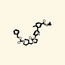 Cc1ccc(C(=O)NC2CC2)cc1-c1ccc(N2CCN(CC3CCN(C(=O)OCc4ccccc4)CC3)C2=O)nc1